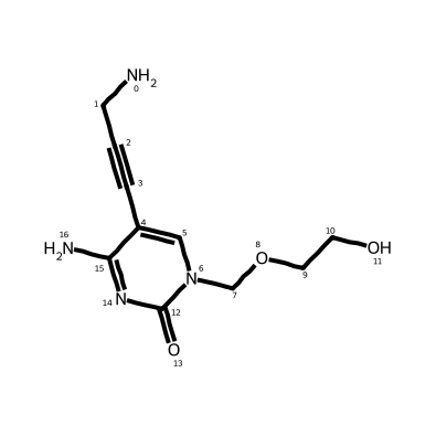 NCC#Cc1cn(COCCO)c(=O)nc1N